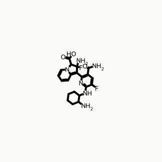 NC(=O)c1cc(F)c(NC2CCCCC2N)nc1C1=C2C=CC=CN2C(C(=O)O)C1(N)F